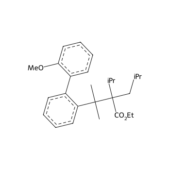 CCOC(=O)C(CC(C)C)(C(C)C)C(C)(C)c1ccccc1-c1ccccc1OC